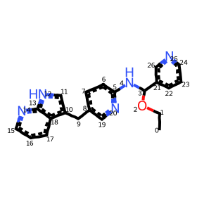 CCOC(Nc1ccc(Cc2c[nH]c3ncccc23)cn1)c1cccnc1